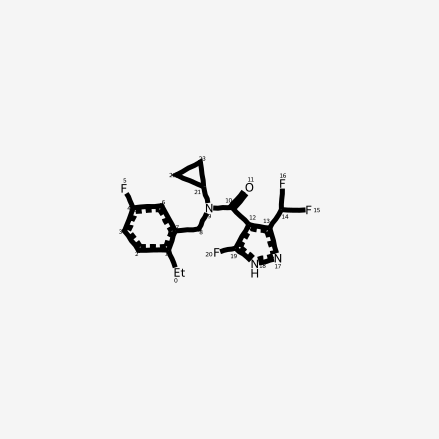 CCc1ccc(F)cc1CN(C(=O)c1c(C(F)F)n[nH]c1F)C1CC1